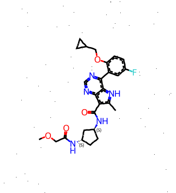 COCC(=O)N[C@H]1CC[C@H](NC(=O)c2c(C)[nH]c3c(-c4cc(F)ccc4OCC4CC4)ncnc23)C1